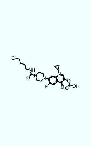 O=C(O)Oc1cn(C2CC2)c2cc(N3CCN(C(=O)NCCCCCl)CC3)c(F)cc2c1=O